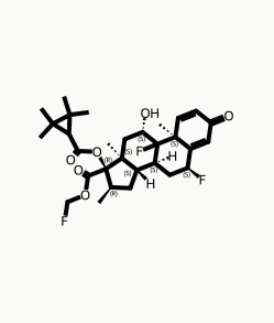 C[C@@H]1C[C@H]2[C@@H]3C[C@H](F)C4=CC(=O)C=C[C@]4(C)C3(F)[C@@H](O)C[C@]2(C)[C@@]1(OC(=O)C1C(C)(C)C1(C)C)C(=O)OCF